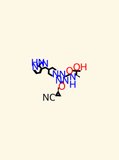 C[C@@H](NC(=O)c1nc(OC[C@H]2CC2C#N)nc(N2CCC(c3n[nH]c4ncccc34)CC2)n1)C(C)(C)O